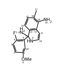 COc1ccc(F)c(C2(N)NC=Cc3c2ccc(C)c3N)c1